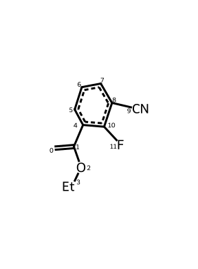 C=C(OCC)c1cccc(C#N)c1F